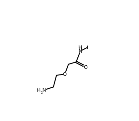 NCCOCC(=O)NI